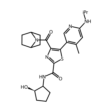 Cc1cc(NC(C)C)ncc1-c1sc(C(=O)NC2CCC[C@H]2O)nc1C(=O)N1C2CCC1CC2